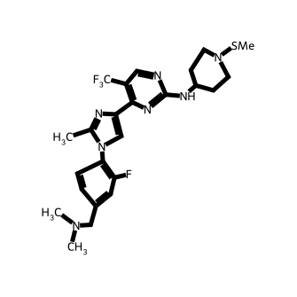 CSN1CCC(Nc2ncc(C(F)(F)F)c(-c3cn(-c4ccc(CN(C)C)cc4F)c(C)n3)n2)CC1